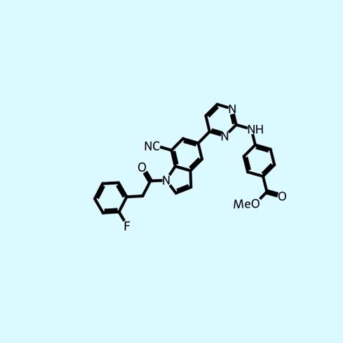 COC(=O)c1ccc(Nc2nccc(-c3cc(C#N)c4c(ccn4C(=O)Cc4ccccc4F)c3)n2)cc1